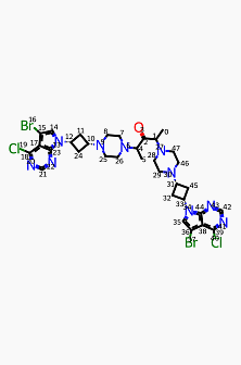 CC(C(=O)C(C)N1CCN([C@H]2C[C@@H](n3cc(Br)c4c(Cl)ncnc43)C2)CC1)N1CCN([C@H]2C[C@@H](n3cc(Br)c4c(Cl)ncnc43)C2)CC1